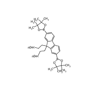 CCCCCCCCCCCCC1(CCCCCCCCCCCC)c2cc(B3OC(C)(C)C(C)(C)O3)ccc2-c2ccc(B3OC(C)(C)C(C)(C)O3)cc21